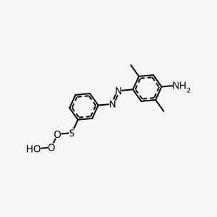 Cc1cc(/N=N/c2cccc(SOOO)c2)c(C)cc1N